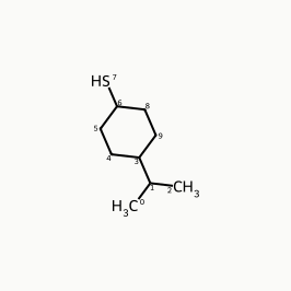 CC(C)C1CCC(S)CC1